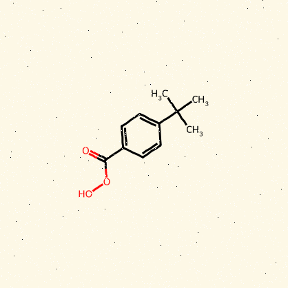 CC(C)(C)c1ccc(C(=O)OO)cc1